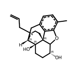 C=CCN1CC[C@@]23c4c5ccc(C)c4OC2[C@H](O)CC[C@]3(O)[C@@H]1C5